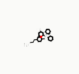 N#CCCCc1ccc(C[P+](c2ccccc2)(c2ccccc2)c2ccccc2)cc1.[Cl-]